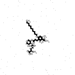 CCCCCCCCCCCOc1ccc(C(C)(C)C)cc1CCC(=O)O[C@H]1COCC[C@@H]1OP(=O)(O)OC[C@H](N)C(=O)O